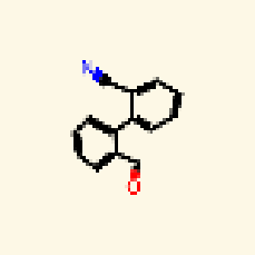 N#Cc1ccccc1-c1ccccc1C=O